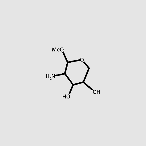 COC1OCC(O)C(O)C1N